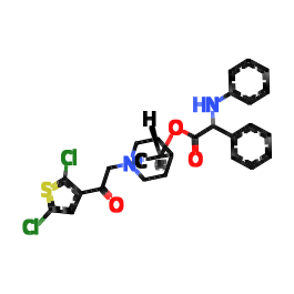 O=C(C[N+]12CCC(CC1)[C@@H](OC(=O)C(Nc1ccccc1)c1ccccc1)C2)c1cc(Cl)sc1Cl